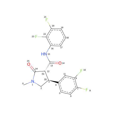 CN1C[C@H](c2ccc(F)c(F)c2)[C@@H](C(=O)Nc2cccc(F)c2F)C1=O